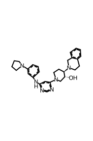 O[C@@H]1CN(c2cc(Nc3cccc(N4CCCC4)c3)ncn2)CC[C@H]1N1CCc2ccccc2C1